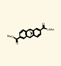 COC(=O)c1ccc2c(c1)C1CCCC2c2cc(C(=O)OC)ccc21